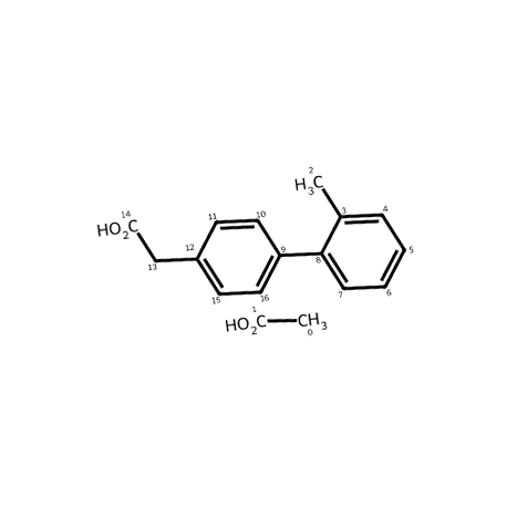 CC(=O)O.Cc1ccccc1-c1ccc(CC(=O)O)cc1